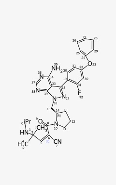 CC(C)NC(C)(C)/C=C(/C#N)C(=O)N1CCC[C@@H]1Cn1nc(-c2ccc(Oc3ccccc3)cc2F)c2c(N)ncnc21